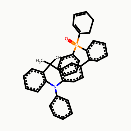 CC1(C)c2ccccc2N(c2ccccc2)c2ccc(-c3ccccc3P(=O)(C3=CC=CCC3)c3ccccc3)cc21